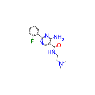 CN(C)CCNC(=O)c1cnc(-c2ccccc2F)nc1N